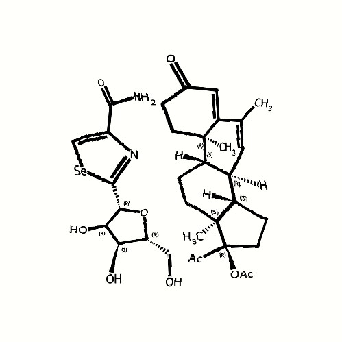 CC(=O)O[C@]1(C(C)=O)CC[C@H]2[C@@H]3C=C(C)C4=CC(=O)CC[C@]4(C)[C@H]3CC[C@@]21C.NC(=O)c1c[se]c([C@@H]2O[C@H](CO)[C@@H](O)[C@H]2O)n1